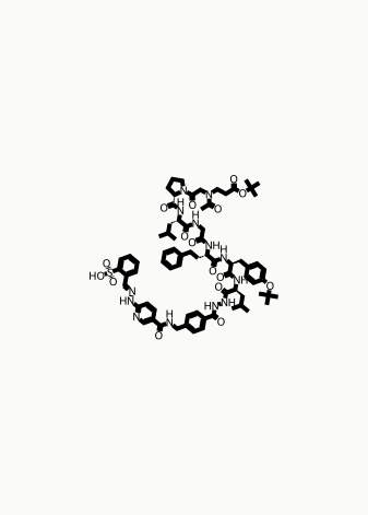 CC(=O)N(CCC(=O)OC(C)(C)C)CC(=O)N1CCC[C@H]1C(=O)N[C@@H](CC(C)C)C(=O)NCC(=O)N[C@@H](CCc1ccccc1)C(=O)N[C@@H](Cc1ccc(OC(C)(C)C)cc1)C(=O)N[C@@H](CC(C)C)C(=O)NNC(=O)c1ccc(CNC(=O)c2ccc(N/N=C/c3ccccc3S(=O)(=O)O)nc2)cc1